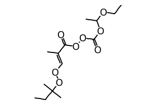 CCOC(C)OC(=O)OOC(=O)C(C)=COOC(C)(C)CC